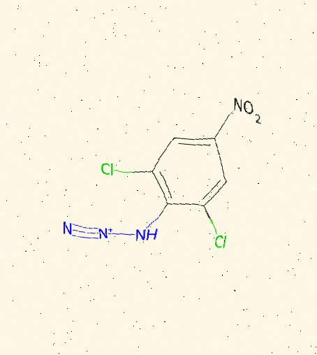 N#[N+]Nc1c(Cl)cc([N+](=O)[O-])cc1Cl